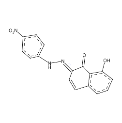 O=C1/C(=N/Nc2ccc([N+](=O)[O-])cc2)C=Cc2cccc(O)c21